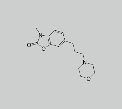 Cn1c(=O)oc2cc(CCCN3CCOCC3)ccc21